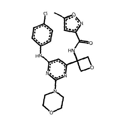 Cc1cc(C(=O)NC2(c3cc(Nc4ccc(Cl)cc4)nc(N4CCOCC4)n3)COC2)no1